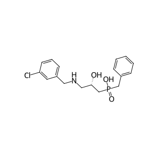 O=P(O)(Cc1ccccc1)C[C@@H](O)CNCc1cccc(Cl)c1